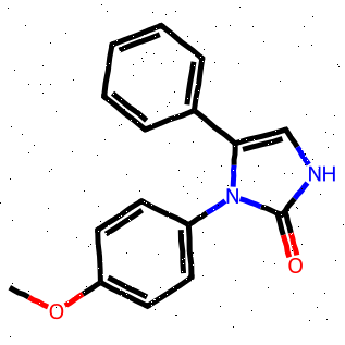 COc1ccc(-n2c(-c3ccccc3)c[nH]c2=O)cc1